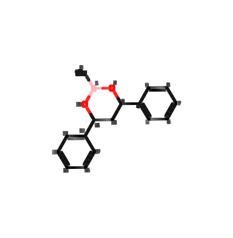 CC(C)(C)B1OC(c2ccccc2)CC(c2ccccc2)O1